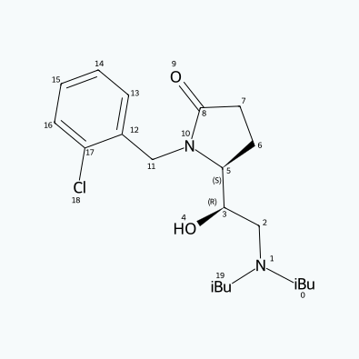 CCC(C)N(C[C@@H](O)[C@@H]1CCC(=O)N1Cc1ccccc1Cl)C(C)CC